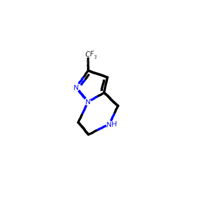 FC(F)(F)c1cc2n(n1)CCNC2